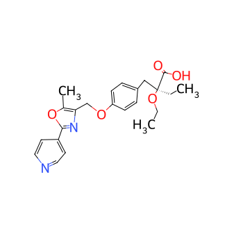 CCO[C@@](CC)(Cc1ccc(OCc2nc(-c3ccncc3)oc2C)cc1)C(=O)O